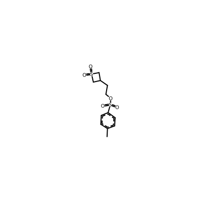 Cc1ccc(S(=O)(=O)OCCC2CS(=O)(=O)C2)cc1